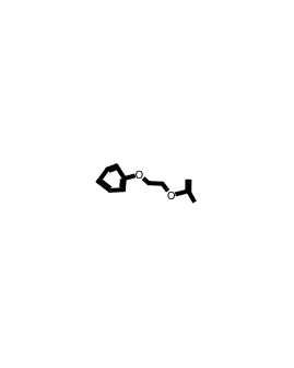 C=C(C)OCCOc1ccccc1